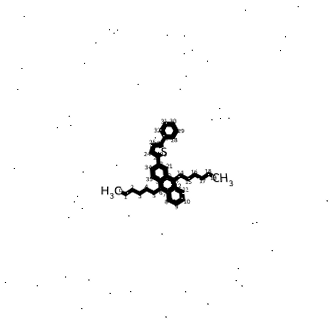 CCCCCCc1c2ccccc2c(CCCCCC)c2cc(-c3ccc(-c4ccccc4)s3)ccc12